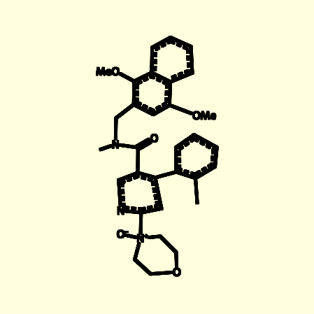 COc1cc(CN(C)C(=O)c2cnc([N+]3([O-])CCOCC3)cc2-c2ccccc2C)c(OC)c2ccccc12